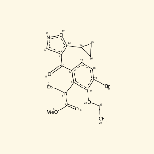 CCN(C(=O)OC)c1c(C(=O)c2cnoc2C2CC2)ccc(Br)c1OCC(F)(F)F